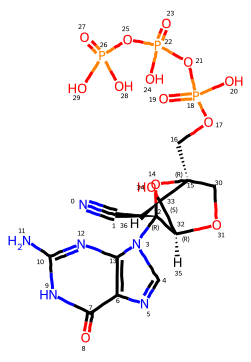 N#C[C@@]1(n2cnc3c(=O)[nH]c(N)nc32)O[C@@]2(COP(=O)(O)OP(=O)(O)OP(=O)(O)O)CO[C@@H]1[C@@H]2O